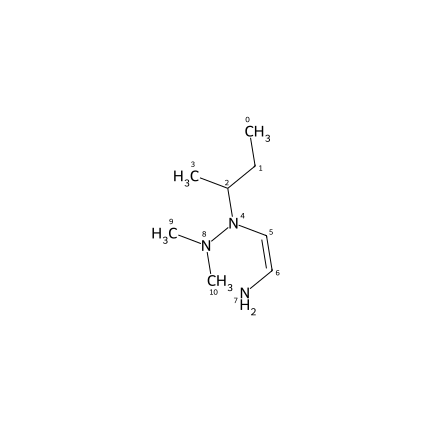 CCC(C)N(/C=C\N)N(C)C